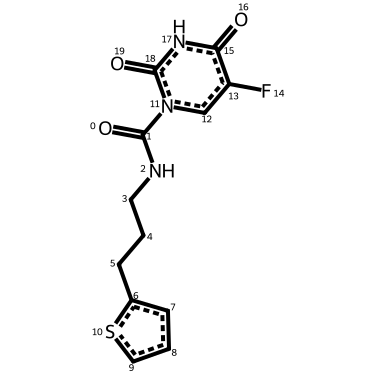 O=C(NCCCc1cccs1)n1cc(F)c(=O)[nH]c1=O